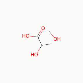 CC(O)C(=O)O.CO